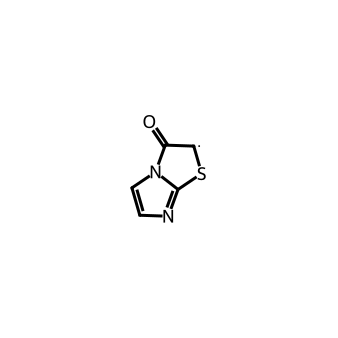 O=C1[CH]Sc2nccn21